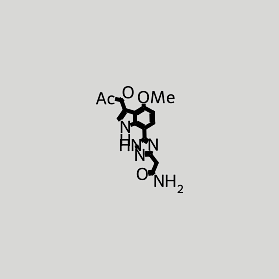 COc1ccc(-c2nc(CC(N)=O)n[nH]2)c2[nH]cc(C(=O)C(C)=O)c12